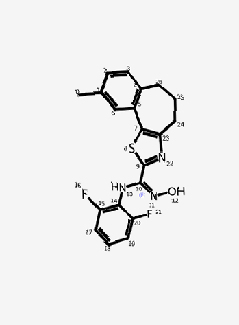 Cc1ccc2c(c1)-c1sc(/C(=N\O)Nc3c(F)cccc3F)nc1CCC2